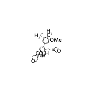 COc1cc(-c2ccc(NC3(C(=O)O)CCOCC3)cc2CC[C@H]2CCOC2)cc(C)c1C